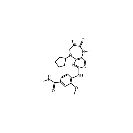 CNC(=O)c1ccc(Nc2ncc3c(n2)N(C2CCCC2)C[C@@H](C)C(=O)N3C)c(OC)c1